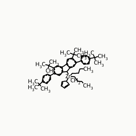 [CH2]=[Zr]([CH2]CCC)([CH2]CCC)([CH]1C=CC=C1)[CH]1c2cc(-c3ccc(C(C)(C)C)cc3)c(C(C)(C)C)cc2-c2cc(C(C)(C)C)c(-c3ccc(C(C)(C)C)cc3)cc21